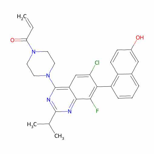 C=CC(=O)N1CCN(c2nc(C(C)C)nc3c(F)c(-c4cccc5cc(O)ccc45)c(Cl)cc23)CC1